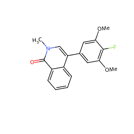 COc1cc(-c2cn(C)c(=O)c3ccccc23)cc(OC)c1F